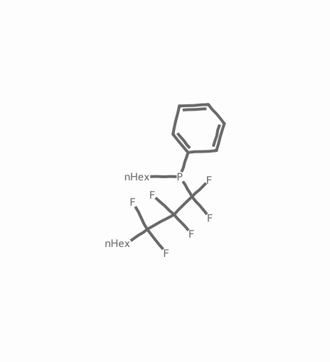 CCCCCCP(c1ccccc1)C(F)(F)C(F)(F)C(F)(F)CCCCCC